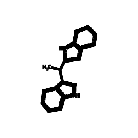 CC(c1cc2ccccc2[nH]1)c1c[nH]c2ccccc12